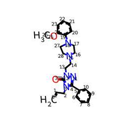 C=CCn1c(-c2ccccc2)nn(CCN2CCN(c3ccccc3OC)CC2)c1=O